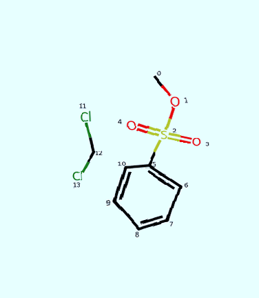 COS(=O)(=O)c1ccccc1.ClCCl